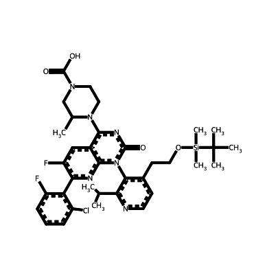 CC(C)c1nccc(CCO[Si](C)(C)C(C)(C)C)c1-n1c(=O)nc(N2CCN(C(=O)O)CC2C)c2cc(F)c(-c3c(F)cccc3Cl)nc21